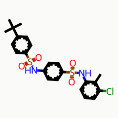 Cc1c(Cl)cccc1NS(=O)(=O)c1ccc(NS(=O)(=O)c2ccc(C(C)(C)C)cc2)cc1